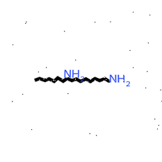 CCCCCCCC(N)CCCCCCCCCN